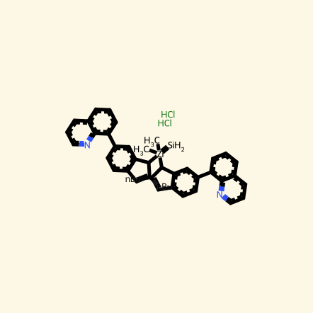 CCCCC1=Cc2ccc(-c3cccc4cccnc34)cc2[CH]1[Zr]([CH3])([CH3])(=[SiH2])[CH]1C(CCCC)=Cc2ccc(-c3cccc4cccnc34)cc21.Cl.Cl